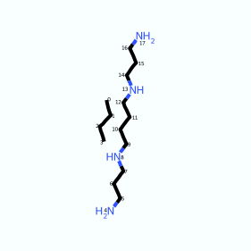 CCCC.NCCCNCCCCNCCCN